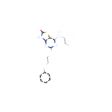 C[C@H](CO)Nc1nc(SCCOc2ccccc2)nc2[nH]c(=O)sc12